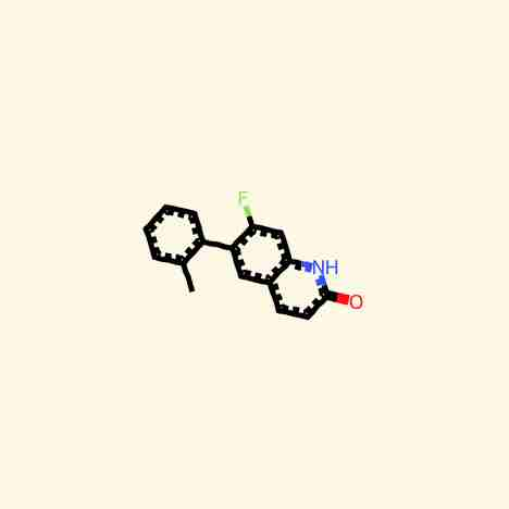 Cc1ccccc1-c1cc2ccc(=O)[nH]c2cc1F